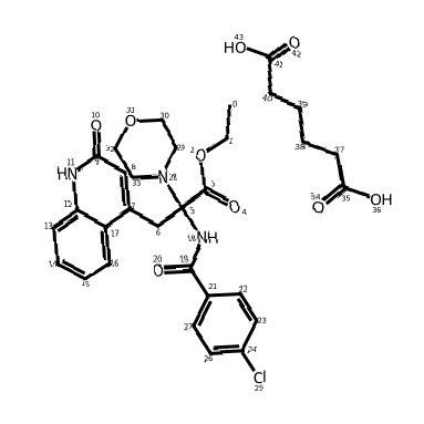 CCOC(=O)C(Cc1cc(=O)[nH]c2ccccc12)(NC(=O)c1ccc(Cl)cc1)N1CCOCC1.O=C(O)CCCCC(=O)O